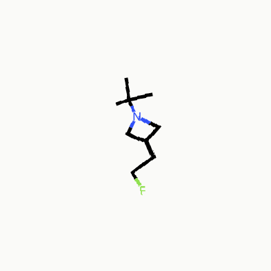 CC(C)(C)N1CC(CCF)C1